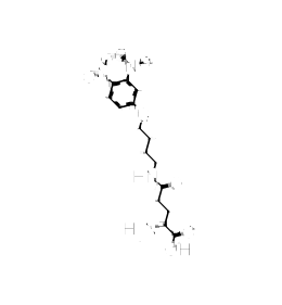 N[C@@H](CCC(=O)NCCCCOc1ccc([N+](=O)[O-])c([N+](=O)[O-])c1)C(=O)O